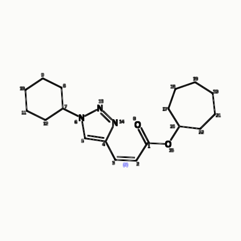 O=C(/C=C\c1cn(C2CCCCC2)nn1)OC1CCCCCC1